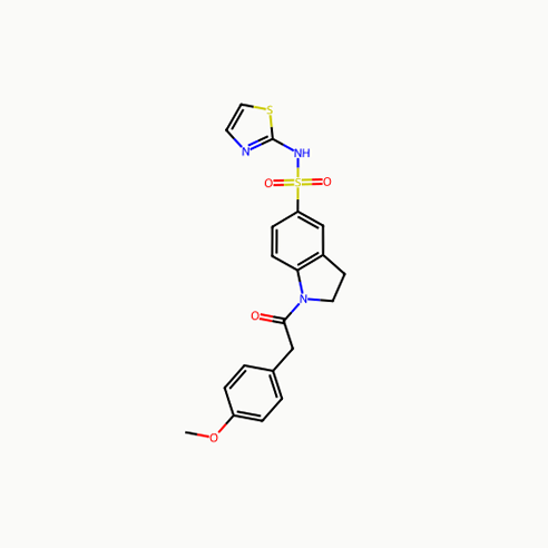 COc1ccc(CC(=O)N2CCc3cc(S(=O)(=O)Nc4nccs4)ccc32)cc1